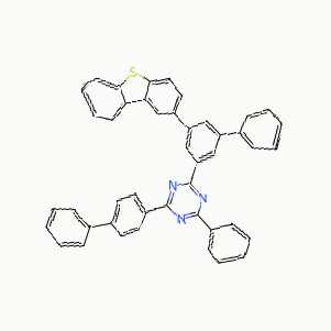 c1ccc(-c2ccc(-c3nc(-c4ccccc4)nc(-c4cc(-c5ccccc5)cc(-c5ccc6sc7ccccc7c6c5)c4)n3)cc2)cc1